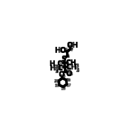 CC(C)(SCC(O)CO)C(C)(C)C(=O)OC1CCCCC1